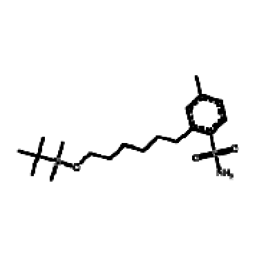 Cc1ccc(S(N)(=O)=O)c(CCCCCCO[Si](C)(C)C(C)(C)C)c1